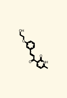 Cc1ccc(C(=O)C=Cc2cccc(OCCO)c2)c(=O)[nH]1